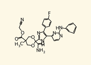 CC1(C(=O)OCC#N)COC(C(N)=O)(c2nc(-c3ccc(F)cc3)c(-c3ccnc(Nc4ccccc4)n3)[nH]2)OC1